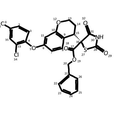 Cc1ccc(Oc2ccc3c(c2)OCCC3[C@@]2(C(=O)OCc3ccccc3)SC(=O)NC2=O)c(Cl)c1